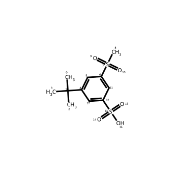 CC(C)(C)c1cc(S(C)(=O)=O)cc(S(=O)(=O)O)c1